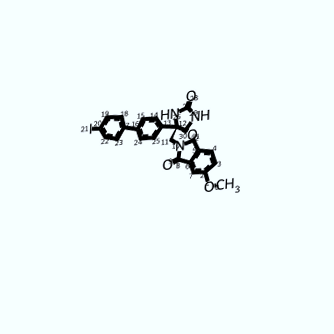 COc1ccc2c(c1)C(=O)N(C[C@@]1(c3ccc(-c4ccc(I)cc4)cc3)NC(=O)NC1=O)C2